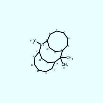 CN1C2CCCCCC(CC2)C(C)(C)C2CCCCCC1CC2